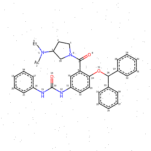 CCN(C(C)=O)C1CCN(C(=O)c2cc(NC(=O)Nc3ccccc3)ccc2OC(c2ccccc2)c2ccccc2)C1